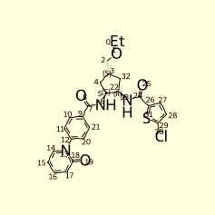 CCOC[C@H]1C[C@H](NC(=O)c2ccc(-n3ccccc3=O)cc2)[C@H](NC(=O)c2ccc(Cl)s2)C1